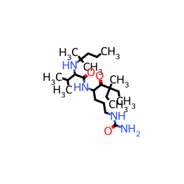 CCCC(C)(C)NC(C(=O)NC(CCCNC(N)=O)C(=O)C(C)(CC)CC)C(C)C